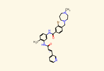 Cc1ccc(NC(=O)c2ccc(CN3CCCN(C)CC3)c(Br)c2)cc1NC(=O)/C=C/c1cccnc1